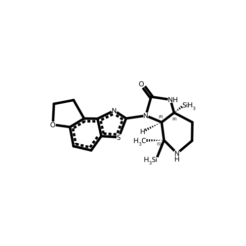 C[C@@]1([SiH3])NCC[C@]2([SiH3])NC(=O)N(c3nc4c5c(ccc4s3)OCC5)[C@H]12